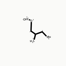 CC(CO[C]=O)CC(C)(C)C